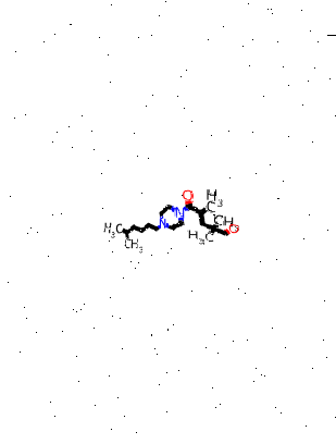 CC(C)CCCCN1CCN(C(=O)C(C)CC(C)(C)C=O)CC1